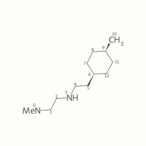 CNCCNCC[C@H]1CC[C@@H](C)CC1